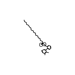 CCCCCCCCCCCCCCCCCC(=O)OCc1ccccc1-c1cccc(C)c1C